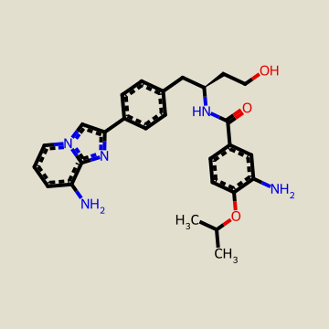 CC(C)Oc1ccc(C(=O)N[C@H](CCO)Cc2ccc(-c3cn4cccc(N)c4n3)cc2)cc1N